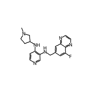 CN1CCC(Nc2ccncc2NCc2cc(F)c3nccnc3c2)C1